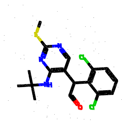 CSc1ncc(C(C=O)c2c(Cl)cccc2Cl)c(NC(C)(C)C)n1